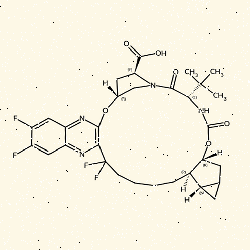 CC(C)(C)[C@@H]1NC(=O)O[C@@H]2CC3C[C@@H]3[C@H]2CCCCC(F)(F)c2nc3cc(F)c(F)cc3nc2O[C@@H]2C[C@@H](C(=O)O)N(C2)C1=O